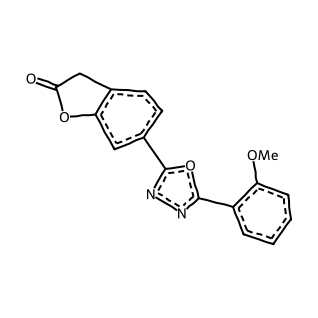 COc1ccccc1-c1nnc(-c2ccc3c(c2)OC(=O)C3)o1